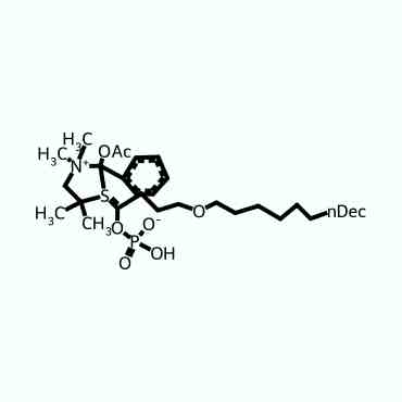 CCCCCCCCCCCCCCCCOCCCC(OP(=O)([O-])O)=S1C(C)(C)C[N+](C)(C)C1(OC(C)=O)c1ccccc1